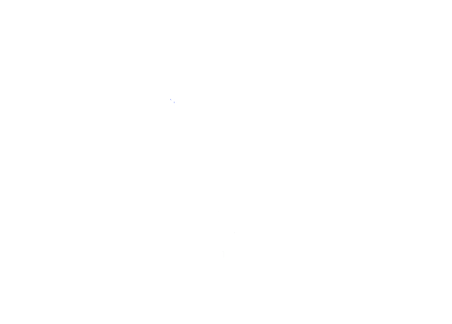 Nc1ccccc1CCSc1cc(Cl)cc(Cl)c1